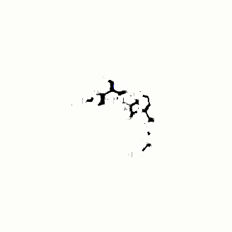 CC(C)/C=C(/C(=O)N[C@@H]1C(=O)N2C(C(=O)OCOC(=O)C(C)(C)C)=CCS[C@H]12)c1csc(N)n1